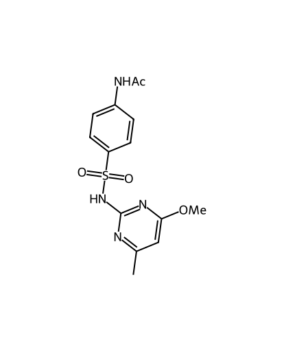 COc1cc(C)nc(NS(=O)(=O)c2ccc(NC(C)=O)cc2)n1